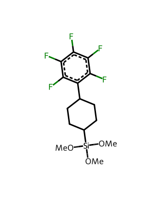 CO[Si](OC)(OC)C1CCC(c2c(F)c(F)c(F)c(F)c2F)CC1